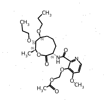 CCCO[C@H]1[C@H](C)OC(=O)[C@@H](NC(=O)c2nccc(OC)c2OCOC(C)=O)CCC[C@@H]1OCCC